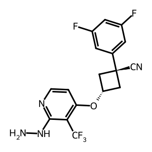 N#C[C@]1(c2cc(F)cc(F)c2)C[C@@H](Oc2ccnc(NN)c2C(F)(F)F)C1